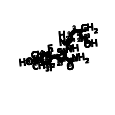 C=C(/C=C\C=C(/N)Nc1sc(-c2c(F)cc(C(C)(C)O)cc2F)cc1C(N)=O)CCO